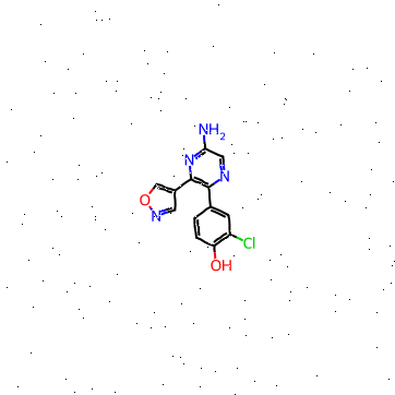 Nc1cnc(-c2ccc(O)c(Cl)c2)c(-c2cnoc2)n1